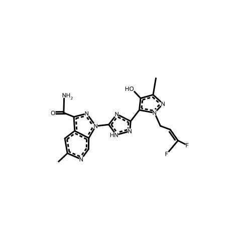 Cc1cc2c(C(N)=O)nn(-c3nc(-c4c(O)c(C)nn4CC=C(F)F)n[nH]3)c2cn1